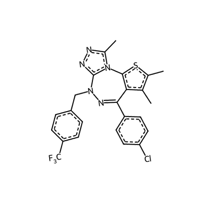 Cc1sc2c(c1C)C(c1ccc(Cl)cc1)=NN(Cc1ccc(C(F)(F)F)cc1)c1nnc(C)n1-2